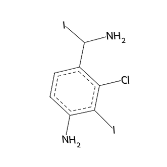 Nc1ccc(C(N)I)c(Cl)c1I